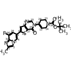 Cc1cn2cc(-c3cc4ncn(C5=CCN(C(=O)OC(C)(C)C)CC5)c(=O)c4s3)cc(F)c2n1